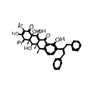 CC(=O)C1=C(O)C(C(C)C)[C@@]2(C)[C@H](O)[C@]3(C)C(=C(O)[C@@]2(O)C1=O)C(=O)c1c(ccc(C(Cc2ccccc2)Cc2ccccc2)c1O)[C@H]3C